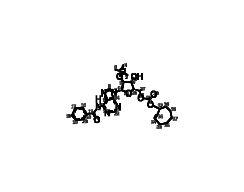 C[Si](C)(C)OC1[C@H](n2cnc3c(NC(=O)c4ccccc4)ncnc32)O[C@H](COC(=O)OC2/C=C/CCCCC2)[C@H]1O